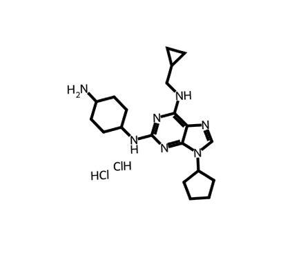 Cl.Cl.NC1CCC(Nc2nc(NCC3CC3)c3ncn(C4CCCC4)c3n2)CC1